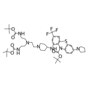 CC(C)(C)OC(=O)NCCN(CCNC(=O)OC(C)(C)C)CCN1CCC(Nc2cc(C(F)(F)F)cc3c2N(C(=O)OC(C)(C)C)c2ccc(N4CCCC4)cc2S3)CC1